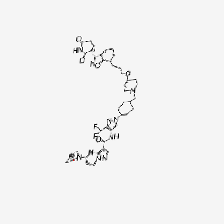 O=C1CC[C@H](c2noc3c(CCCOC4CCN(CC5CCC(n6cc(NC(=O)c7cnn8ccc(N9C[C@@]%10%11CC9%10CO%11)nc78)c(C(F)F)n6)CC5)CC4)cccc23)C(=O)N1